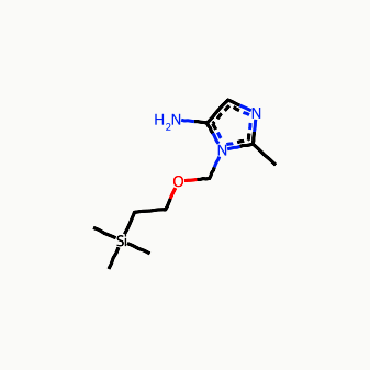 Cc1ncc(N)n1COCC[Si](C)(C)C